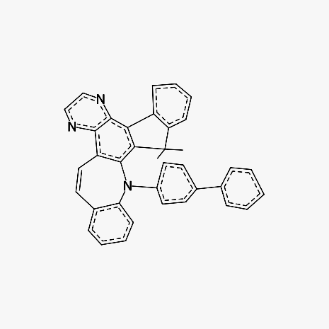 CC1(C)c2ccccc2-c2c1c1c(c3nccnc23)C=Cc2ccccc2N1c1ccc(-c2ccccc2)cc1